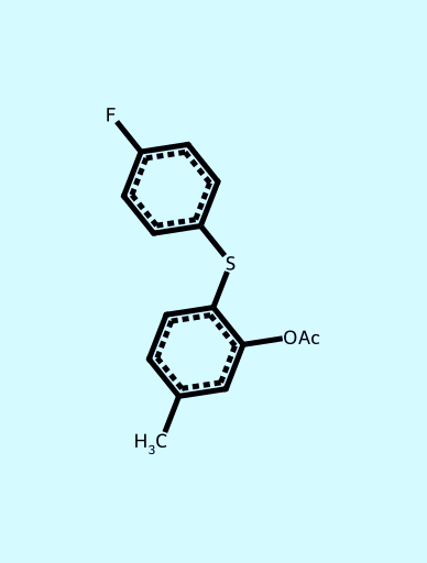 CC(=O)Oc1cc(C)ccc1Sc1ccc(F)cc1